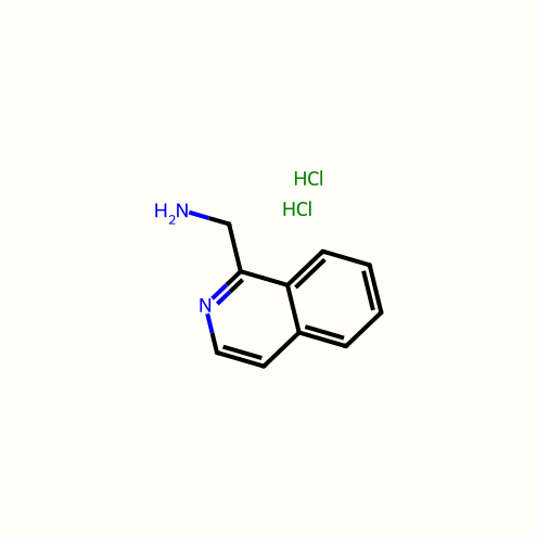 Cl.Cl.NCc1nccc2ccccc12